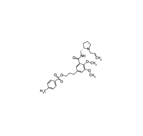 C=CCN1CCC[C@H]1CNC(=O)c1cc(CCCOS(=O)(=O)c2ccc(C)cc2)cc(OC)c1OC